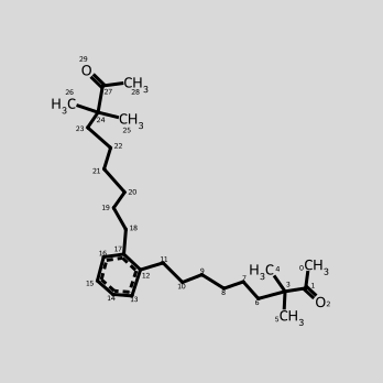 CC(=O)C(C)(C)CCCCCCc1ccccc1CCCCCCC(C)(C)C(C)=O